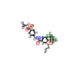 CCCCOC(c1ccc(C(=O)NCc2ccc(S(=O)(=O)CC3CC3)cc2)cc1)(C(F)(F)F)C(F)(F)F